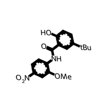 COc1cc([N+](=O)[O-])ccc1NC(=O)c1cc(C(C)(C)C)ccc1O